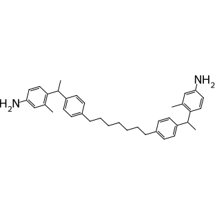 Cc1cc(N)ccc1C(C)c1ccc(CCCCCCCc2ccc(C(C)c3ccc(N)cc3C)cc2)cc1